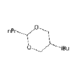 CCCC1OCC(C(C)CC)CO1